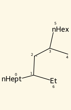 CCCCCCCC([CH]C(C)CCCCCC)CC